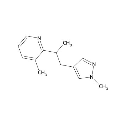 Cc1cccnc1C(C)Cc1cnn(C)c1